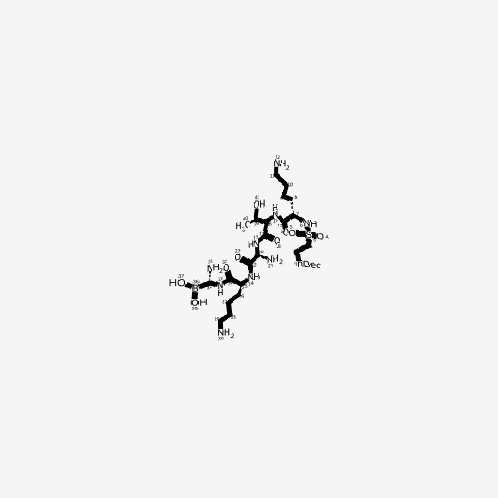 CCCCCCCCCCCCS(=O)(=O)N[C@@H](CCCCN)C(=O)NC(C(=O)N[C@@H](N)C(=O)N[C@@H](CCCCN)C(=O)N[C@@H](N)B(O)O)[C@@H](C)O